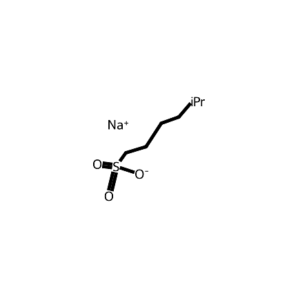 CC(C)CCCCS(=O)(=O)[O-].[Na+]